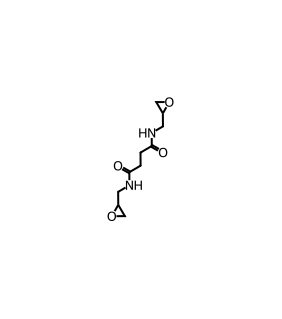 O=C(CCC(=O)NCC1CO1)NCC1CO1